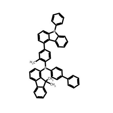 Cc1cc(-c2cccc3c2c2ccccc2n3-c2ccccc2)ccc1N(c1ccc(-c2ccccc2)cc1)c1cccc2c1C(C)(C)c1ccccc1-2